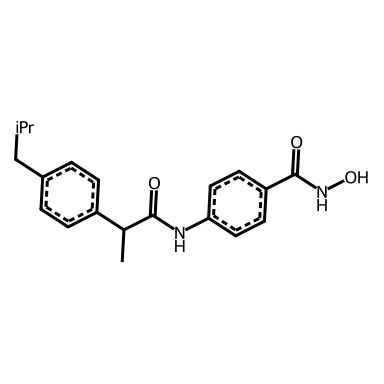 CC(C)Cc1ccc(C(C)C(=O)Nc2ccc(C(=O)NO)cc2)cc1